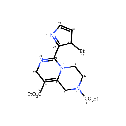 CCOC(=O)C1=C2CN(C(=O)OCC)CCN2C(C2=NC=CC2CC)=NC1